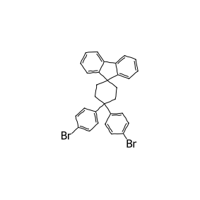 Brc1ccc(C2(c3ccc(Br)cc3)CCC3(CC2)c2ccccc2-c2ccccc23)cc1